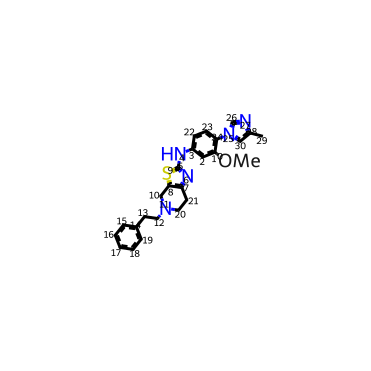 COc1cc(Nc2nc3c(s2)CN(CCc2ccccc2)CC3)ccc1-n1cnc(C)c1